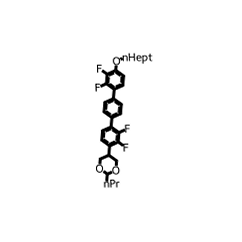 CCCCCCCOc1ccc(-c2ccc(-c3ccc(C4COC(CCC)OC4)c(F)c3F)cc2)c(F)c1F